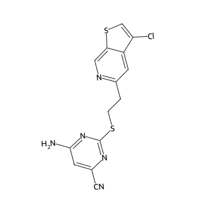 N#Cc1cc(N)nc(SCCc2cc3c(Cl)csc3cn2)n1